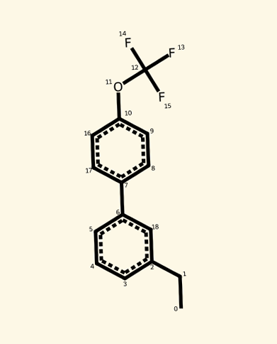 CCc1cccc(-c2ccc(OC(F)(F)F)cc2)c1